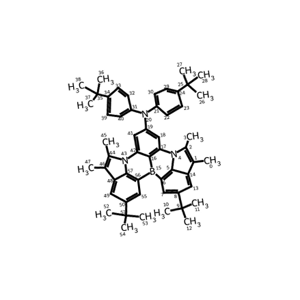 Cc1c(C)n2c3c(cc(C(C)(C)C)cc13)B1c3c-2cc(N(c2ccc(C(C)(C)C)cc2)c2ccc(C(C)(C)C)cc2)cc3-n2c(C)c(C)c3cc(C(C)(C)C)cc1c32